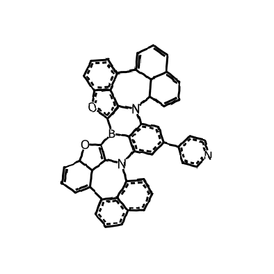 C1=CC2=CC=CC3C2C(=C1)c1cccc2oc4c(c12)N3c1cc(-c2ccncc2)cc2c1B4C1=C3C4C(=CC=CC4O1)c1cccc4cccc(c14)N32